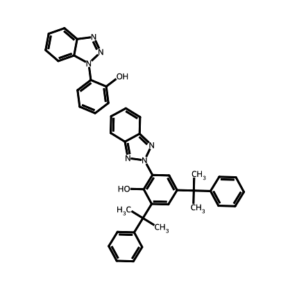 CC(C)(c1ccccc1)c1cc(-n2nc3ccccc3n2)c(O)c(C(C)(C)c2ccccc2)c1.Oc1ccccc1-n1nnc2ccccc21